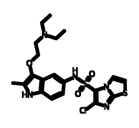 CCN(CC)CCOc1c(C)[nH]c2ccc(NS(=O)(=O)c3c(Cl)nc4sccn34)cc12